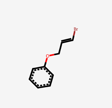 BrC=CCOc1ccccc1